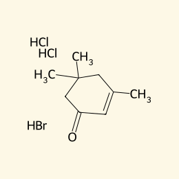 Br.CC1=CC(=O)CC(C)(C)C1.Cl.Cl